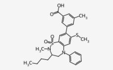 CCCCC1CN(c2ccccc2)c2cc(SC)c(-c3cc(C)cc(C(=O)O)c3)cc2S(=O)(=O)N1C